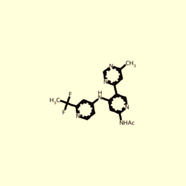 CC(=O)Nc1cc(Nc2ccnc(C(C)(F)F)c2)c(-c2cc(C)ncn2)cn1